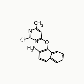 Cc1cc(Oc2c(N)ccc3ccccc23)nc(Cl)n1